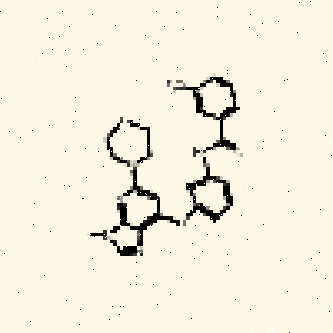 Cn1cnc2c(Oc3cccc(NC(=O)c4cccc(C(F)(F)F)c4)c3)nc(N3CCOCC3)nc21